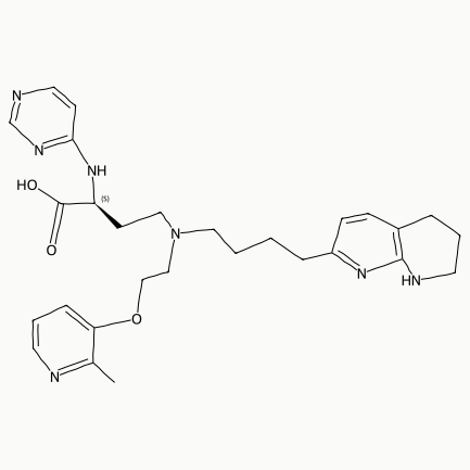 Cc1ncccc1OCCN(CCCCc1ccc2c(n1)NCCC2)CC[C@H](Nc1ccncn1)C(=O)O